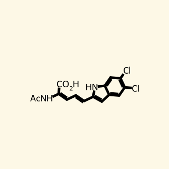 CC(=O)NC(=CC=Cc1cc2cc(Cl)c(Cl)cc2[nH]1)C(=O)O